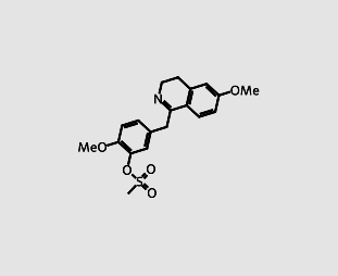 COc1ccc2c(c1)CCN=C2Cc1ccc(OC)c(OS(C)(=O)=O)c1